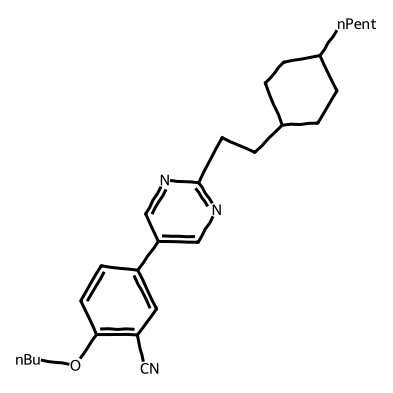 CCCCCC1CCC(CCc2ncc(-c3ccc(OCCCC)c(C#N)c3)cn2)CC1